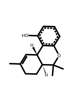 CC1=C[C@@H]2c3c(O)cccc3OC(C)(C)[C@H]2CC1